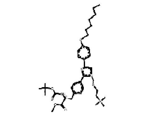 CCCCCCCOc1ccc(-c2cn(COCCS(C)(C)C)c(-c3ccc(C[C@H](NC(=O)OC(C)(C)C)C(=O)OC)cc3)n2)cc1